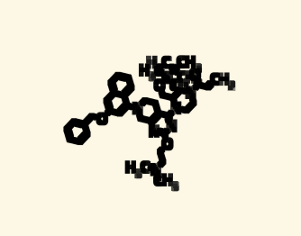 C=CC(=O)N1CCN(c2nc(OCCN(C)C)nc3c2CCN(c2cc(OCc4ccccc4)cc4ccccc24)C3)C(CO[Si](C)(C)C(C)(C)C)C1